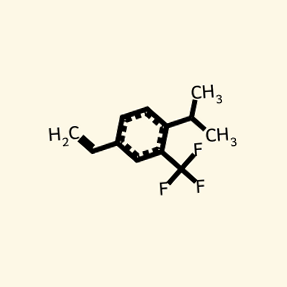 C=Cc1ccc(C(C)C)c(C(F)(F)F)c1